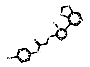 CCn1c(SCC(=O)Nc2ccc(C(C)C)cc2)nnc1-c1cncc2c1OCO2